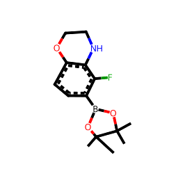 CC1(C)OB(c2ccc3c(c2F)NCCO3)OC1(C)C